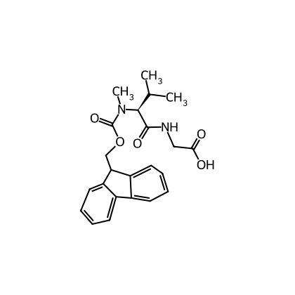 CC(C)[C@@H](C(=O)NCC(=O)O)N(C)C(=O)OCC1c2ccccc2-c2ccccc21